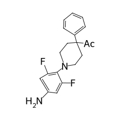 CC(=O)C1(c2ccccc2)CCN(c2c(F)cc(N)cc2F)CC1